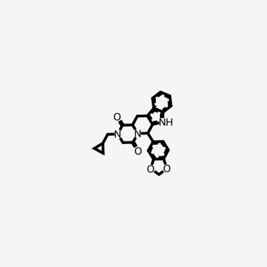 O=C1C2Cc3c([nH]c4ccccc34)C(c3ccc4c(c3)OCO4)N2C(=O)CN1CC1CC1